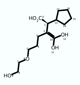 O=C(O)[C@H](C(CCCOCCO)=C(O)O)C1CCCC1